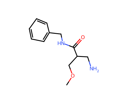 COCC(CN)C(=O)NCc1ccccc1